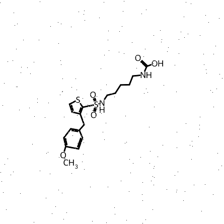 COc1ccc(Cc2ccsc2S(=O)(=O)NCCCCCNC(=O)O)cc1